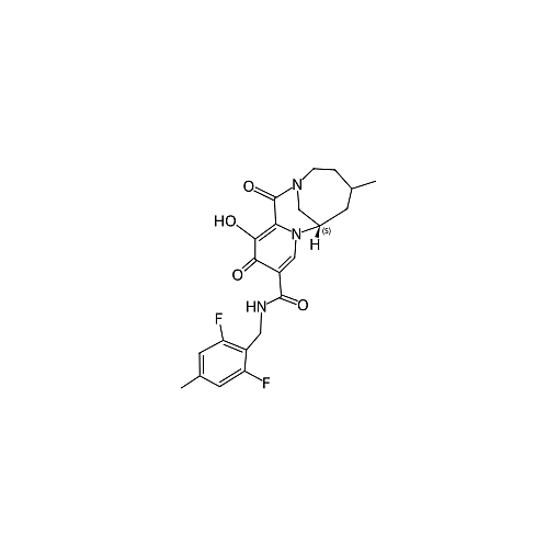 Cc1cc(F)c(CNC(=O)c2cn3c(c(O)c2=O)C(=O)N2CCC(C)C[C@H]3C2)c(F)c1